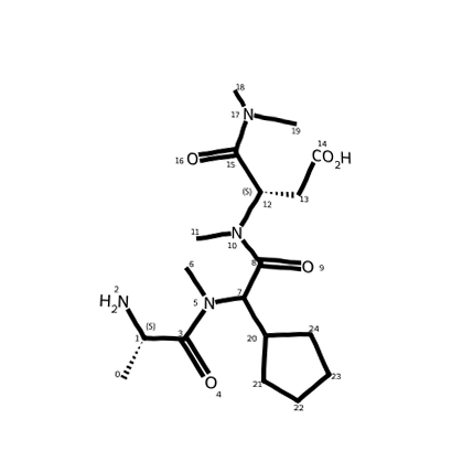 C[C@H](N)C(=O)N(C)C(C(=O)N(C)[C@@H](CC(=O)O)C(=O)N(C)C)C1CCCC1